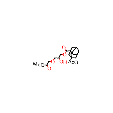 COC(=O)COCC(O)COC(=O)C12CC3CC(CC(OC(C)=O)(C3)C1)C2